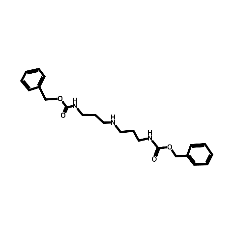 O=C(NCCCNCCCNC(=O)OCc1ccccc1)OCc1ccccc1